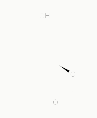 CC(=O)O[C@H]1CCC(C)C(O)C1